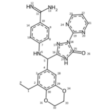 CCc1cc(C(Nc2ccc(C(=N)N)cc2)c2nn(-c3ncccn3)c(=O)[nH]2)cc2c1OCCO2